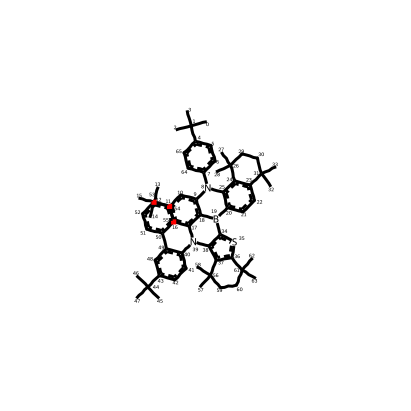 CC(C)(C)c1ccc(N2c3cc(C(C)(C)C)cc4c3B(c3ccc5c(c32)C(C)(C)CCC5(C)C)c2sc3c(c2N4c2ccc(C(C)(C)C)cc2-c2ccccc2)C(C)(C)CCC3(C)C)cc1